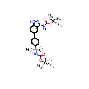 CC(C)(C)OC(=O)Nc1n[nH]c2ccc(-c3ccc(C(C)(C)NC(=O)OC(C)(C)C)cc3)cc12